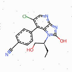 CC[C@@H](CO)n1c(O)nc2ncc(Cl)c(-c3ccc(C#N)cc3)c21